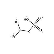 CCCC(O)CS(=O)(=O)O